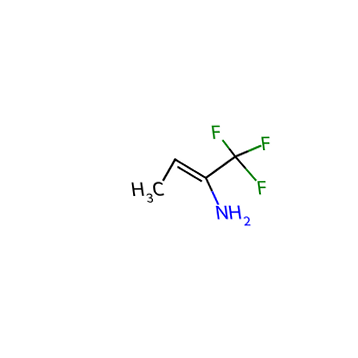 C/C=C(\N)C(F)(F)F